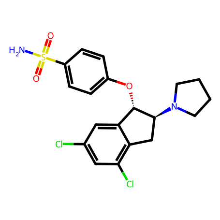 NS(=O)(=O)c1ccc(O[C@H]2c3cc(Cl)cc(Cl)c3C[C@@H]2N2CCCC2)cc1